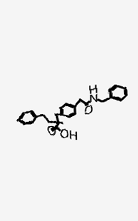 CC(CCc1ccccc1)(Cc1ccc(CC(=O)NCc2ccccc2)cc1)C(=O)O